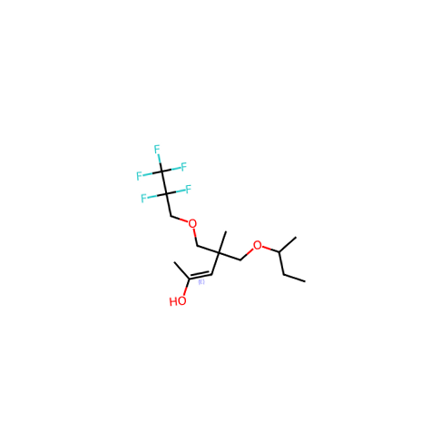 CCC(C)OCC(C)(/C=C(\C)O)COCC(F)(F)C(F)(F)F